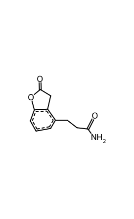 NC(=O)CCc1cccc2c1CC(=O)O2